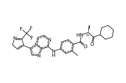 Cc1cc(Nc2nccn3c(C4=CCN=C4C(F)(F)F)cnc23)ccc1C(=O)N[C@@H](C)C(=O)C1CCCCC1